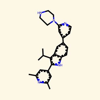 Cc1cc(-c2[nH]c3ccc(-c4ccnc(N5CCNCC5)c4)cc3c2C(C)C)cc(C)n1